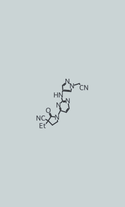 CCC1(C#N)CCN(c2ccnc(Nc3cnn(CC#N)c3)n2)C1=O